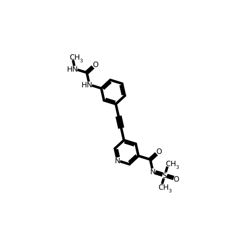 CNC(=O)Nc1cccc(C#Cc2cncc(C(=O)N=S(C)(C)=O)c2)c1